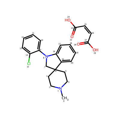 CN1CCC2(CC1)CN(c1ccccc1Cl)c1ccccc12.O=C(O)/C=C\C(=O)O